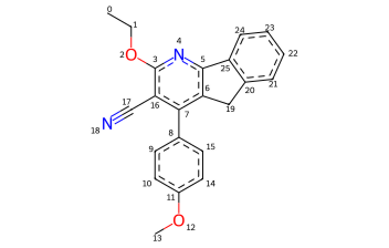 CCOc1nc2c(c(-c3ccc(OC)cc3)c1C#N)Cc1ccccc1-2